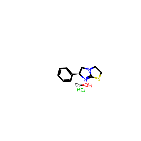 CCO.Cl.c1ccc([C@H]2CN3CCSC3=N2)cc1